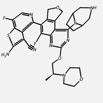 C[C@@H](COc1nc(N2C3CCC2CNC3)c2c3c(c(-c4ncc(F)c5sc(N)c(C#N)c45)c(F)c2n1)COC3)N1CCOCC1